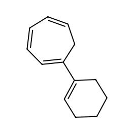 C1=CC=C(C2=CCCCC2)CC=C1